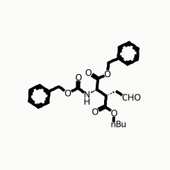 CCCCOC(=O)[C@@H](CC=O)[C@H](NC(=O)OCc1ccccc1)C(=O)OCc1ccccc1